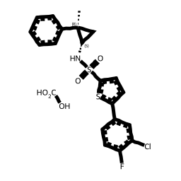 C[C@]1(c2ccccc2)C[C@@H]1NS(=O)(=O)c1ccc(-c2ccc(F)c(Cl)c2)s1.O=C(O)O